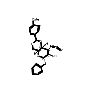 COc1ccc(C2OC[C@H]3O[C@@H](Sc4ccccc4)[C@H](O)[C@@H](N=[N+]=[N-])[C@H]3O2)cc1